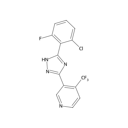 Fc1cccc(Cl)c1-c1nc(-c2cnccc2C(F)(F)F)n[nH]1